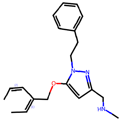 C/C=C\C(=C/C)COc1cc(CNC)nn1CCc1ccccc1